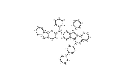 c1ccc(-c2ccc(-c3cc4ccccc4c4c3c3ccc(N(c5ccccc5)c5ccc6sc7ccccc7c6c5)cc3n4-c3ccccc3)cc2)cc1